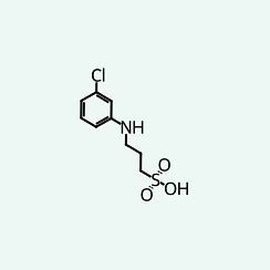 O=S(=O)(O)CCCNc1cccc(Cl)c1